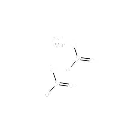 O=[Si]([O-])[O-].O=[Si]([O-])[O-].[Mg+2].[Pb+2]